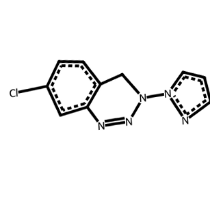 Clc1ccc2c(c1)N=NN(n1cccn1)C2